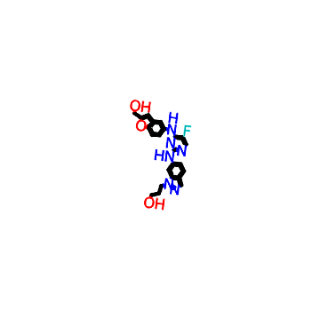 OCCCn1ncc2ccc(Nc3ncc(F)c(Nc4ccc5oc(CO)cc5c4)n3)cc21